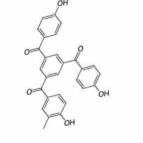 Cc1cc(C(=O)c2cc(C(=O)c3ccc(O)cc3)cc(C(=O)c3ccc(O)cc3)c2)ccc1O